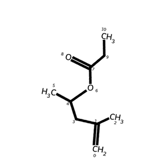 C=C(C)CC(C)OC(=O)CC